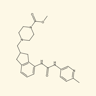 COC(=O)N1CCN(CC2Cc3cccc(NC(=O)Nc4ccc(C)nc4)c3C2)CC1